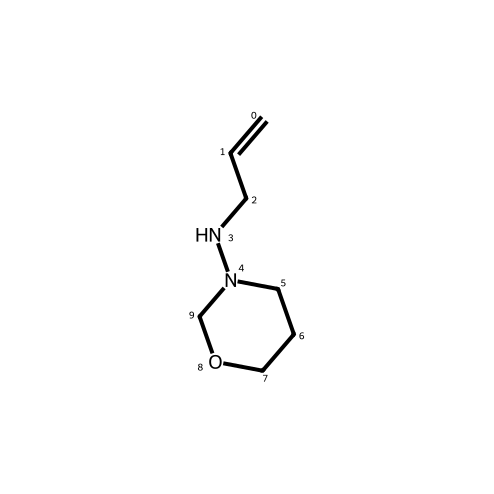 C=CCNN1CCCOC1